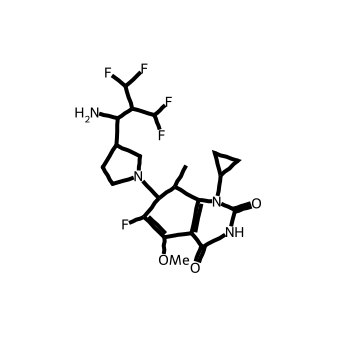 COC1=C(F)C(N2CCC(C(N)C(C(F)F)C(F)F)C2)C(C)c2c1c(=O)[nH]c(=O)n2C1CC1